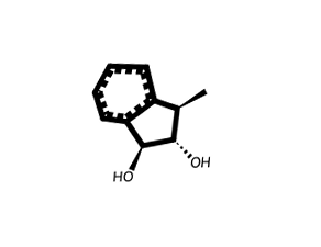 C[C@@H]1c2ccccc2[C@H](O)[C@H]1O